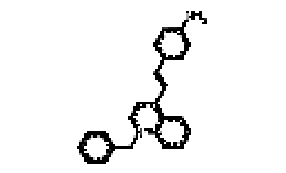 Nc1ccc(C=Cc2cc[n+](Cc3ccccc3)c3ccccc23)cc1